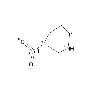 O=[SH](=O)C1CCCNC1